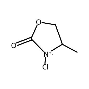 CC1COC(=O)[N+]1Cl